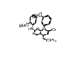 C=Cc1cc(=O)n(-c2cccc(OC)c2)c2nc(Nc3ccccc3OC)ncc12